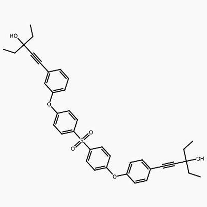 CCC(O)(C#Cc1ccc(Oc2ccc(S(=O)(=O)c3ccc(Oc4cccc(C#CC(O)(CC)CC)c4)cc3)cc2)cc1)CC